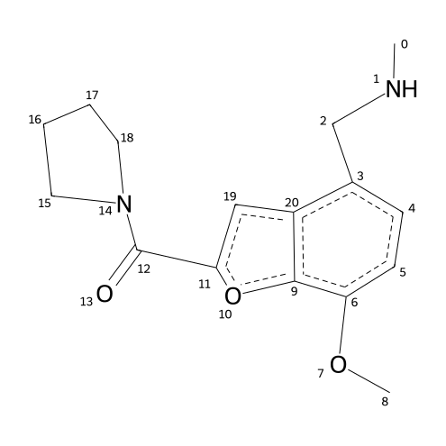 CNCc1ccc(OC)c2oc(C(=O)N3CCCC3)cc12